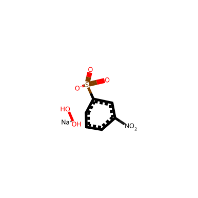 O=[N+]([O-])c1cccc(S(=O)(=O)[O-])c1.OO.[Na+]